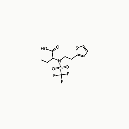 CCC(C(=O)O)N(CCc1cccs1)S(=O)(=O)C(F)(F)F